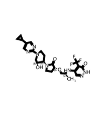 C[C@@H](CO[C@@H]1CCN([C@@H]2CCN(c3ncc(C4CC4)cn3)C[C@H]2O)C1=O)Nc1cn[nH]c(=O)c1C(F)(F)F